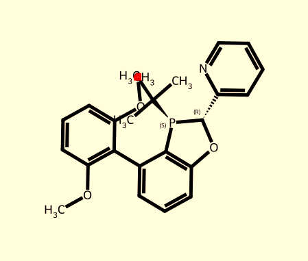 COc1cccc(OC)c1-c1cccc2c1[P@@](C(C)(C)C)[C@H](c1ccccn1)O2